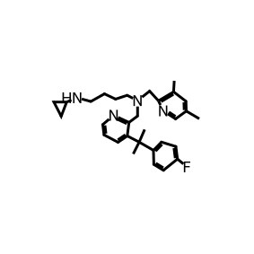 Cc1cnc(CN(CCCCNC2CC2)Cc2ncccc2C(C)(C)c2ccc(F)cc2)c(C)c1